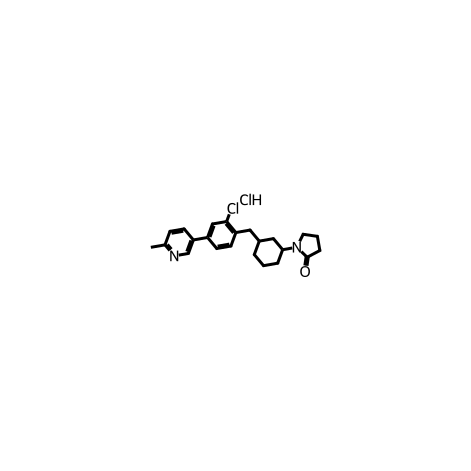 Cc1ccc(-c2ccc(CC3CCCC(N4CCCC4=O)C3)c(Cl)c2)cn1.Cl